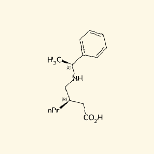 CCC[C@@H](CN[C@@H](C)c1ccccc1)CC(=O)O